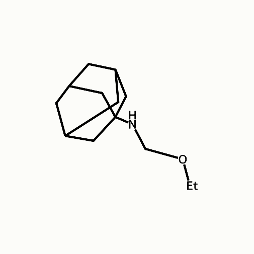 CCOCNC12CC3CC(CC(C3)C1)C2